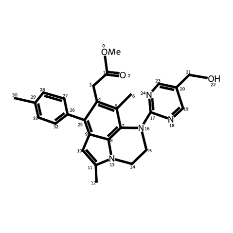 COC(=O)Cc1c(C)c2c3c(cc(C)n3CCN2c2ncc(CO)cn2)c1-c1ccc(C)cc1